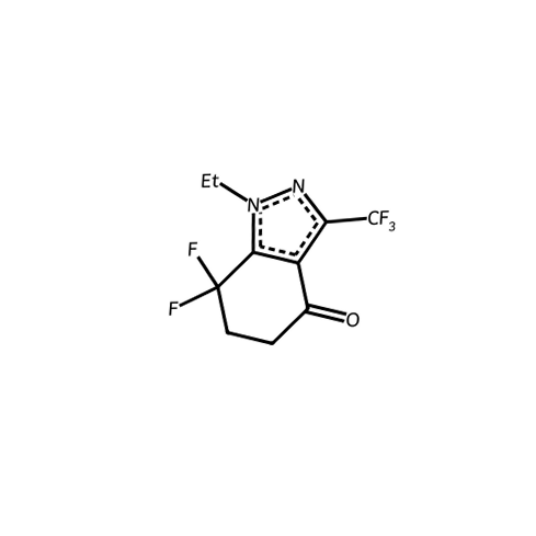 CCn1nc(C(F)(F)F)c2c1C(F)(F)CCC2=O